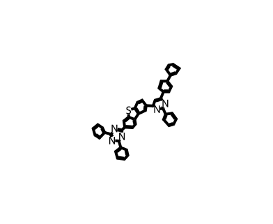 c1ccc(-c2ccc(-c3cc(-c4ccc5sc6cc(-c7nc(-c8ccccc8)nc(-c8ccccc8)n7)ccc6c5c4)nc(-c4ccccc4)n3)cc2)cc1